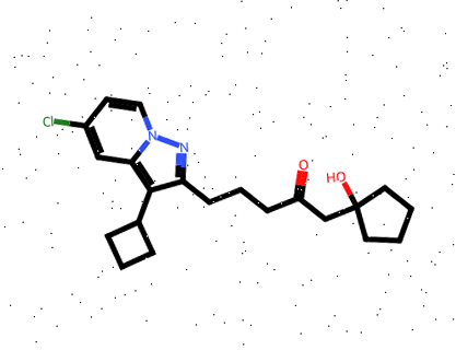 O=C(CCCc1nn2ccc(Cl)cc2c1C1CCC1)CC1(O)CCCC1